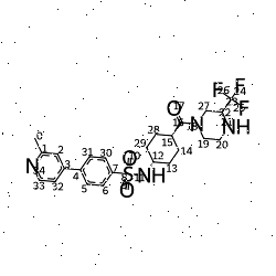 Cc1cc(-c2ccc(S(=O)(=O)N[C@H]3CC[C@H](C(=O)N4CCNC(C(F)(F)F)C4)CC3)cc2)ccn1